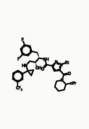 CCCC1CCCCN1C(=O)c1cc(C(=O)N[C@@H](Cc2cc(F)cc(F)c2)[C@H](O)CNC2(c3cccc(C(F)(F)F)c3)CC2)nn1CC